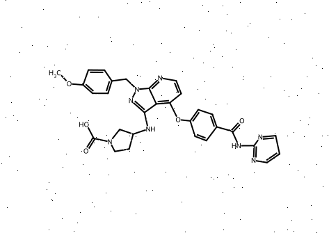 COc1ccc(Cn2nc(NC3CCN(C(=O)O)C3)c3c(Oc4ccc(C(=O)Nc5ncccn5)cc4)ccnc32)cc1